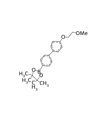 COCCOc1ccc(-c2ccc(B3OC(C)(C)C(C)(C)O3)cc2)cc1